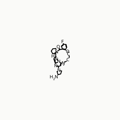 CN1CCCCOc2ccc(F)cc2C(=O)N2CCCC[C@H]2c2cc3nc(N4CC[C@H](N)C4)cc1n3n2